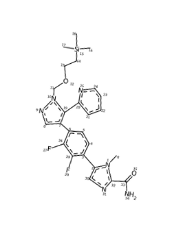 Cn1c(-c2ccc(-c3cnn(COCC[Si](C)(C)C)c3-c3ccccn3)c(F)c2F)cnc1C(N)=O